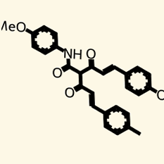 COc1ccc(NC(=O)C(C(=O)/C=C/c2ccc(C)cc2)C(=O)/C=C/c2ccc(O)cc2)cc1